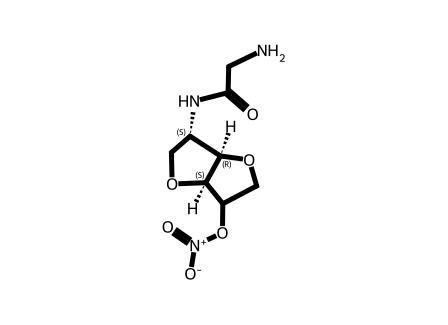 NCC(=O)N[C@H]1CO[C@@H]2C(O[N+](=O)[O-])CO[C@H]12